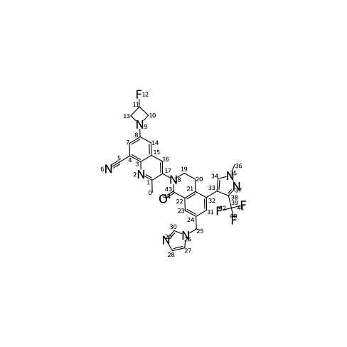 Cc1nc2c(C#N)cc(N3CC(F)C3)cc2cc1N1CCc2c(cc(Cn3ccnc3)cc2-c2cn(C)nc2C(F)(F)F)C1=O